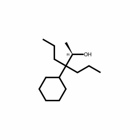 CCCC(CCC)(C1CCCCC1)[C@@H](C)O